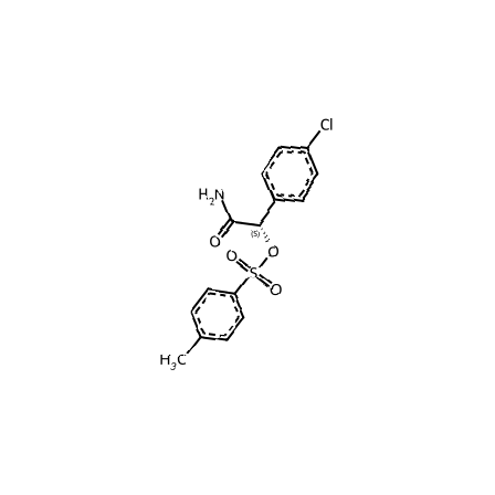 Cc1ccc(S(=O)(=O)O[C@H](C(N)=O)c2ccc(Cl)cc2)cc1